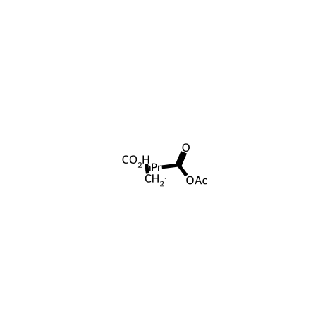 CCCC(=O)OC(C)=O.[CH2]C(=O)O